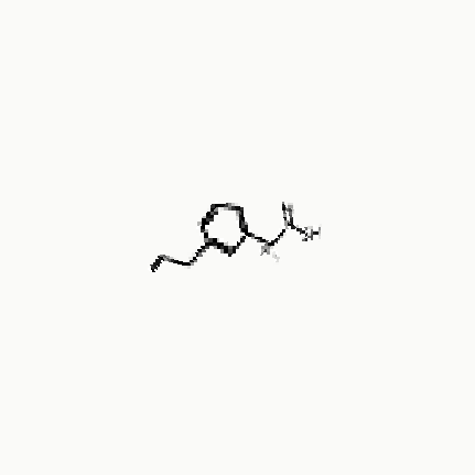 CCCc1cccc([C@@H](C)NS)c1